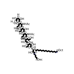 CCCCCCCC/C=C\CCCCCCCCCCCCCC(=O)N[C@@H](CO[C@@H]1OC(CO)[C@@H](O[C@@H]2OC(CO)[C@H](O[C@@H]3OC(CO)[C@H](O)[C@H](O[C@@H]4OC(CO)[C@H](O)[C@H](O[C@@H]5OC(CO)[C@@H](O)[C@H](O[C@H]6OC(C)[C@@H](O)C(O)[C@@H]6O)C5NC(C)=O)C4O)C3NC(C)=O)[C@H](O)C2O)[C@H](O)C1O)[C@H](O)/C=C/CCCCCCCCCCCCC